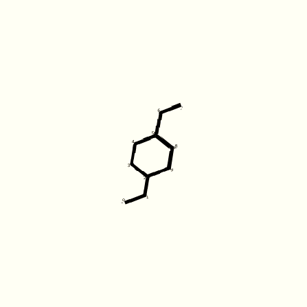 [CH2]CC1CCC(CC)CC1